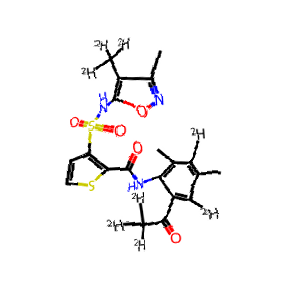 [2H]c1c(C)c([2H])c(C(=O)C([2H])([2H])[2H])c(NC(=O)c2sccc2S(=O)(=O)Nc2onc(C)c2C([2H])([2H])[2H])c1C